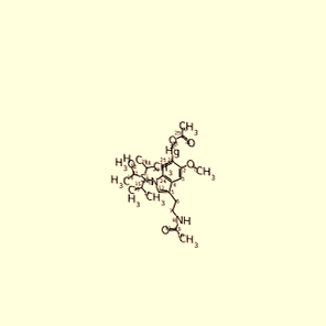 COc1cc2c(CCNC(C)=O)cn([Si](C(C)C)(C(C)C)C(C)C)c2c[c]1[Hg][O]C(C)=O